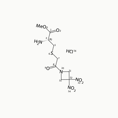 COC(=O)[C@@H](N)CSCC(=O)N1CC([N+](=O)[O-])([N+](=O)[O-])C1.Cl